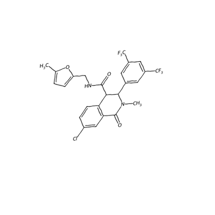 Cc1ccc(CNC(=O)C2c3ccc(Cl)cc3C(=O)N(C)C2c2cc(C(F)(F)F)cc(C(F)(F)F)c2)o1